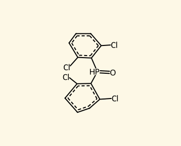 O=[PH](c1c(Cl)cccc1Cl)c1c(Cl)cccc1Cl